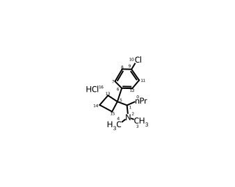 CCCC(N(C)C)C1(c2ccc(Cl)cc2)CCC1.Cl